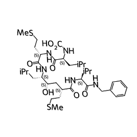 CSCC[C@H](C[C@H](O)[C@H](CC(C)C)NC(=O)[C@H](CCSC)NC(=O)[C@H](CC(C)C)NC(=O)O)C(=O)N[C@H](C(=O)NCc1ccccc1)C(C)C